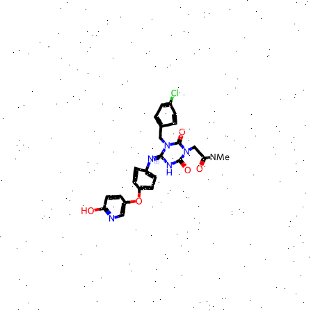 CNC(=O)Cn1c(=O)[nH]/c(=N\c2ccc(Oc3ccc(O)nc3)cc2)n(Cc2ccc(Cl)cc2)c1=O